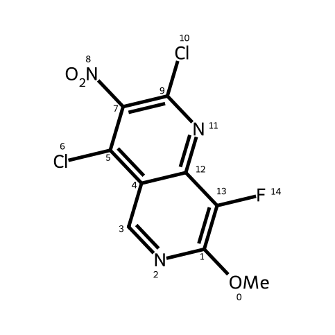 COc1ncc2c(Cl)c([N+](=O)[O-])c(Cl)nc2c1F